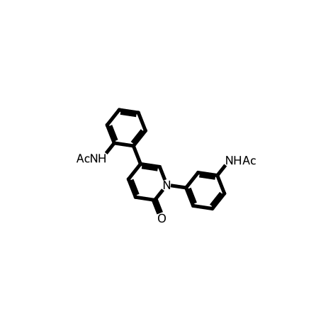 CC(=O)Nc1cccc(-n2cc(-c3ccccc3NC(C)=O)ccc2=O)c1